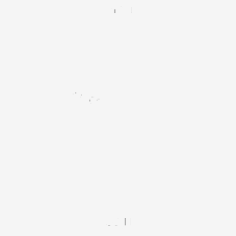 CCCCCCCC/C=C\CCCCCCCC(=O)O.[Cs].[Cs]